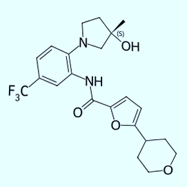 C[C@]1(O)CCN(c2ccc(C(F)(F)F)cc2NC(=O)c2ccc(C3CCOCC3)o2)C1